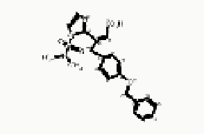 CN(C)S(=O)(=O)n1ccnc1/C(=C\C(=O)O)Cc1ccc(OCc2ccccc2)cc1